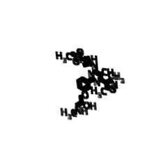 CCS(=O)(=O)N1CC(Nc2nc(-c3cccc(OCC(O)CNC)c3)nc(-c3c(C)noc3C)c2C)C1